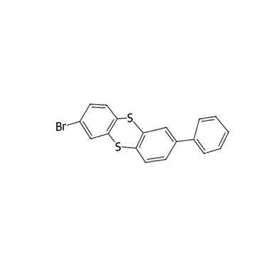 Brc1ccc2c(c1)Sc1ccc(-c3ccccc3)cc1S2